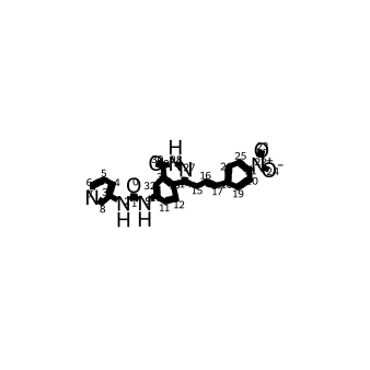 O=C(Nc1cccnc1)Nc1ccc2c(CC=Cc3ccc([N+](=O)[O-])cc3)n[nH]c(=O)c2c1